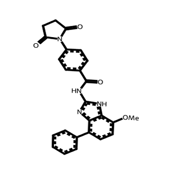 COc1ccc(-c2ccccc2)c2nc(NC(=O)c3ccc(N4C(=O)CCC4=O)cc3)[nH]c12